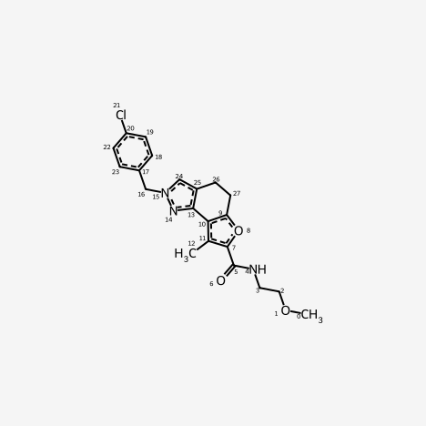 COCCNC(=O)c1oc2c(c1C)-c1nn(Cc3ccc(Cl)cc3)cc1CC2